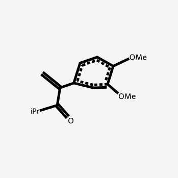 C=C(C(=O)C(C)C)c1ccc(OC)c(OC)c1